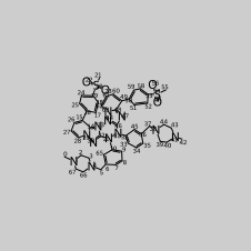 CN1CCN(Cc2cccc(N(c3nc4c(-c5ccc(S(C)(=O)=O)cc5)cccn4n3)N(c3cccc(CN4CCN(C)CC4)c3)c3nc4c(-c5ccc(S(C)(=O)=O)cc5)cccn4n3)c2)CC1